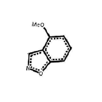 COc1cccc2on[c]c12